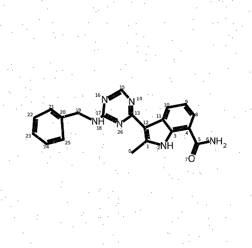 Cc1[nH]c2c(C(N)=O)cccc2c1-c1ncnc(NCc2ccccc2)n1